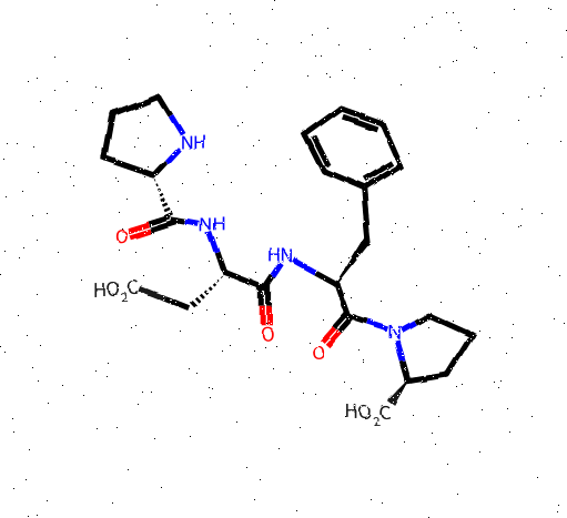 O=C(O)C[C@H](NC(=O)[C@@H]1CCCN1)C(=O)N[C@@H](Cc1ccccc1)C(=O)N1CCC[C@H]1C(=O)O